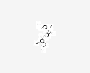 C#Cc1cc(Nc2ncc3c(=O)n(CC=C)n(-c4cccc(N=S(C)(C)=O)n4)c3n2)cc2c1CC(N(C)C)CC2